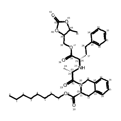 CCCCCCCCOC(=O)[C@@H]1Cc2ccccc2CN1C(=O)[C@H](C)N[C@@H](CCc1ccccc1)C(=O)OCC1OC(=O)OC1C